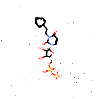 O=C1C=CN([C@@H]2O[C@H](COP(=O)(O)OP(=O)(O)O)C(O)C2O)C(O)N1CCc1ccccc1